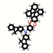 CC1(C)c2ccccc2-c2ccc(N(c3ccc4c(c3)Oc3cc5c(cc3O4)-c3ccccc3C53c4ccccc4-c4ccccc43)c3ccc4c(c3)C(C)(C)c3ccccc3-4)cc21